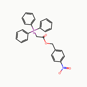 O=C(C[PH](c1ccccc1)(c1ccccc1)c1ccccc1)OCc1ccc([N+](=O)[O-])cc1